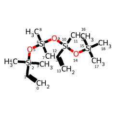 C=C[Si](C)(C)O[Si](C)(C)O[Si](C)(C=C)O[Si](C)(C)C